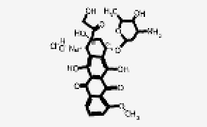 COc1cccc2c1C(=O)c1c(O)c3c(c(O)c1C2=O)C[C@@](O)(C(=O)CO)C[C@@H]3OC1CC(N)C(O)C(C)O1.Cl.[Cl-].[Na+]